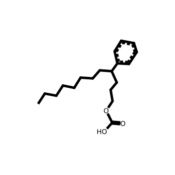 CCCCCCCCC(CCCOC(=O)O)c1ccccc1